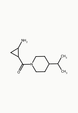 CC(C)C1CCN(C(=O)C2CC2N)CC1